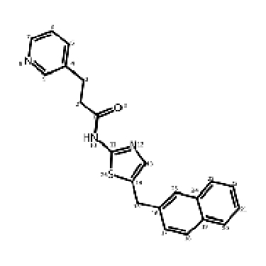 O=C(CCc1cccnc1)Nc1ncc(Cc2ccc3ccccc3c2)s1